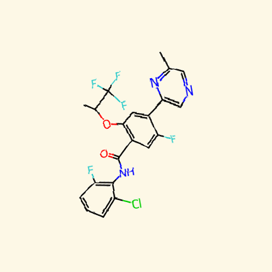 Cc1cncc(-c2cc(OC(C)C(F)(F)F)c(C(=O)Nc3c(F)cccc3Cl)cc2F)n1